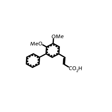 COc1cc(/C=C/C(=O)O)cc(-c2ccccc2)c1OC